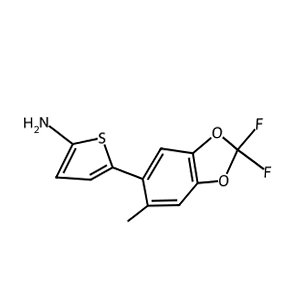 Cc1cc2c(cc1-c1ccc(N)s1)OC(F)(F)O2